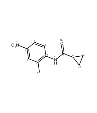 Cc1cc([N+](=O)[O-])ccc1NC(=O)C1CC1